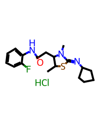 CC1SC(=NC2CCCC2)N(C)C1CC(=O)Nc1ccccc1F.Cl